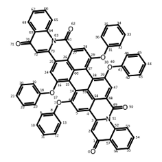 O=c1cc2c3cc(Oc4ccccc4)c4c5c(Oc6ccccc6)cc6c7c(cc(Oc8ccccc8)c(c8c(Oc9ccccc9)cc(c(=O)n2c2ccccc12)c3c84)c57)c(=O)n1c2ccccc2c(=O)cc61